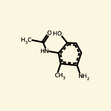 CC(=O)Nc1c(O)ccc(N)c1C